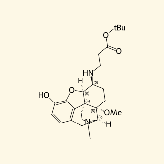 CO[C@@]12CC[C@H](NCCC(=O)OC(C)(C)C)[C@@H]3Oc4c(O)ccc5c4[C@@]31CCN(C)[C@@H]2C5